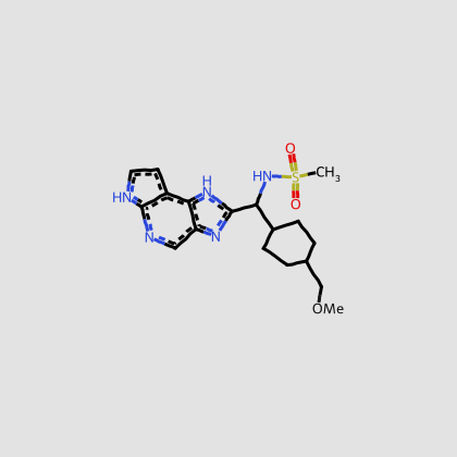 COCC1CCC(C(NS(C)(=O)=O)c2nc3cnc4[nH]ccc4c3[nH]2)CC1